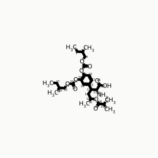 CCC(C)COC(=O)Oc1ccc(C(CC(C)OC(=O)C(C)C)[C@H](N)C(=O)O)cc1OC(=O)OCC(C)CC